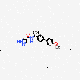 CCOc1ccc(-c2ccc(C(C)NC(=O)c3cn[nH]c3)cc2)cc1